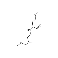 COCC(C)CSN[C@H](C=O)CCSC